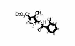 CCOC(=O)c1n[nH]c(NC(=O)c2ccccc2Cl)c1C